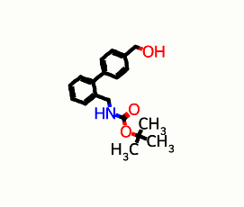 CC(C)(C)OC(=O)NCc1ccccc1-c1ccc(CO)cc1